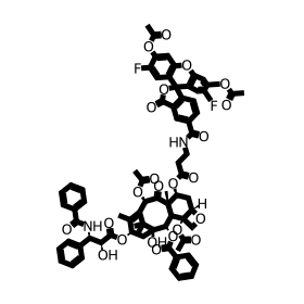 CC(=O)Oc1cc2c(cc1F)C1(OC(=O)c3cc(C(=O)NCCC(=O)O[C@H]4C[C@H]5OC[C@@]5(OC(C)=O)C5[C@H](OC(=O)c6ccccc6)[C@]6(O)C[C@H](OC(=O)[C@H](O)[C@@H](NC(=O)c7ccccc7)c7ccccc7)C(C)=C([C@@H](OC(C)=O)C(=O)[C@@]54C)C6(C)C)ccc31)c1cc(F)c(OC(C)=O)cc1O2